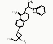 C=C1c2ccc(N3CC(C)(CO)C3)cc2CCN1CC(C)N1Cc2ccccc21